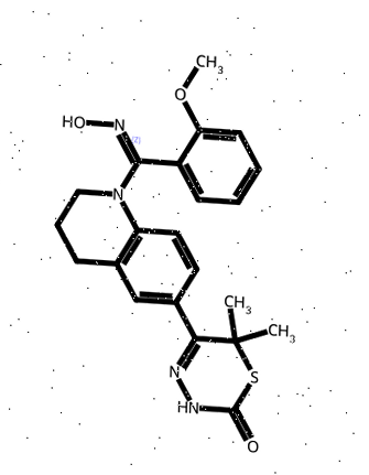 COc1ccccc1/C(=N/O)N1CCCc2cc(C3=NNC(=O)SC3(C)C)ccc21